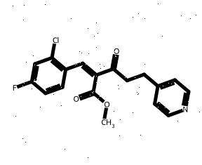 COC(=O)C(=Cc1ccc(F)cc1Cl)C(=O)CCc1ccncc1